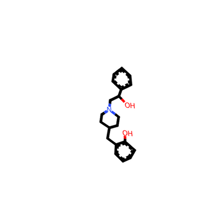 Oc1ccccc1CC1CCN(CC(O)c2ccccc2)CC1